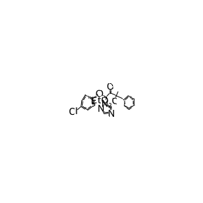 CCOC(=O)C(C)(C(=O)C(Oc1ccc(Cl)cc1)n1cncn1)c1ccccc1